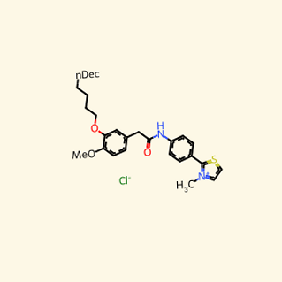 CCCCCCCCCCCCCCOc1cc(CC(=O)Nc2ccc(-c3scc[n+]3C)cc2)ccc1OC.[Cl-]